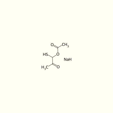 CC(=O)OC(S)C(C)=O.[NaH]